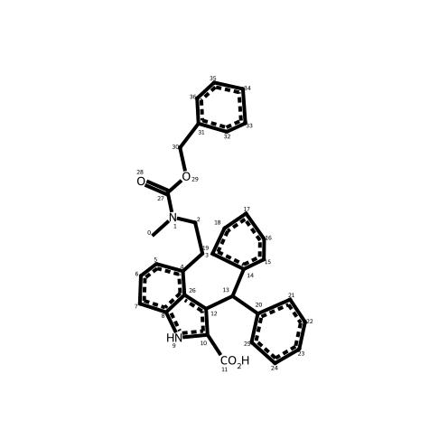 CN(CCc1cccc2[nH]c(C(=O)O)c(C(c3ccccc3)c3ccccc3)c12)C(=O)OCc1ccccc1